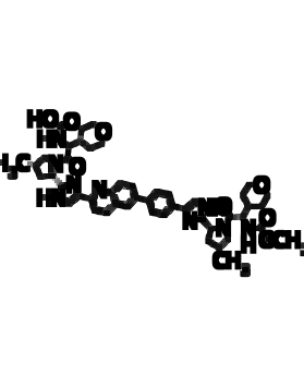 COC(=O)NC(C(=O)N1C[C@@H](C)C[C@H]1c1nc(-c2ccc(-c3ccc4nc(-c5c[nH]c([C@@H]6C[C@H](C)CN6C(=O)C(NC(=O)O)C6CCOCC6)n5)ccc4c3)cc2)c[nH]1)C1CCOCC1